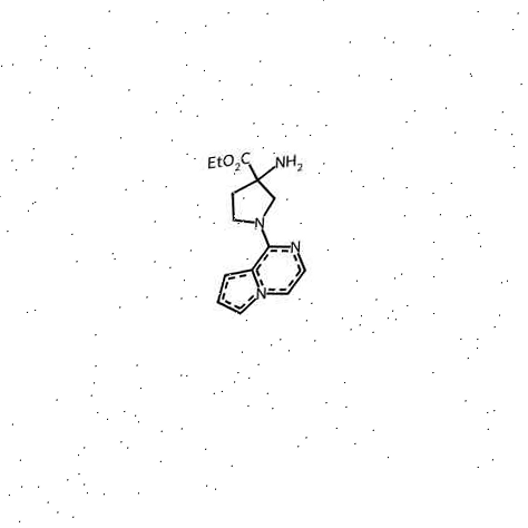 CCOC(=O)C1(N)CCN(c2nccn3cccc23)C1